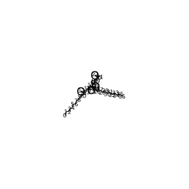 CCCCCCCCCCCC(=O)CCC(CSCCC(C)=O)OC(=O)CCCCCCCCCCC